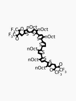 CCCCCCCCc1cc(C=C(C(=O)C(F)(F)F)C(=O)C(F)(F)F)sc1-c1cc(CCCCCCCC)c(-c2cc(CCCCCCCC)c(-c3ccc(-c4sc(-c5sc(-c6sc(C=C(C(=O)C(F)(F)F)C(=O)C(F)(F)F)cc6CCCCCCCC)cc5CCCCCCCC)cc4CCCCCCCC)s3)s2)s1